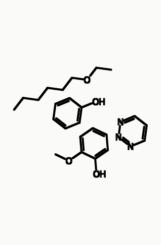 CCCCCCOCC.COc1ccccc1O.Oc1ccccc1.c1cnnnc1